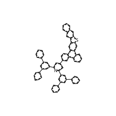 c1ccc(-c2cc(-c3ccccc3)cc(-c3cc(-c4ccc5c(c4)c4ccccc4c4cc6sc7cc8ccccc8cc7c6cc54)cc(-c4cc(-c5ccccc5)cc(-c5ccccc5)c4)n3)c2)cc1